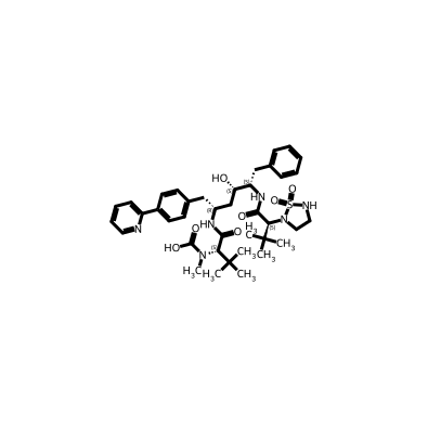 CN(C(=O)O)[C@H](C(=O)N[C@H](Cc1ccc(-c2ccccn2)cc1)C[C@H](O)[C@H](Cc1ccccc1)NC(=O)[C@@H](N1CCNS1(=O)=O)C(C)(C)C)C(C)(C)C